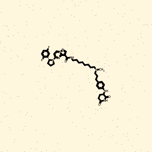 CN(CCCCCCCCNC(=O)c1cnn2ccc(N3CCC[C@@H]3c3cc(F)ccc3F)nc12)CCCc1ccc(NC2CCC(=O)NC2=O)cc1